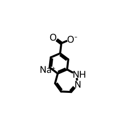 O=C([O-])c1ccc2c(c1)NN=CC=C2.[Na+]